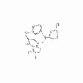 O=c1cc(CN(c2cccc(Cl)c2)c2ccnc(Cl)c2)c2ccc(F)c(F)c2[nH]1